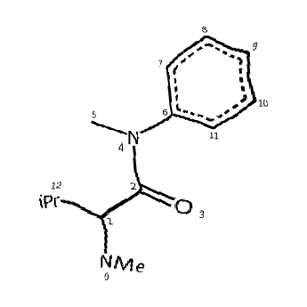 CNC(C(=O)N(C)c1ccccc1)C(C)C